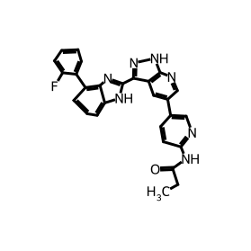 CCC(=O)Nc1ccc(-c2cnc3[nH]nc(-c4nc5c(-c6ccccc6F)cccc5[nH]4)c3c2)cn1